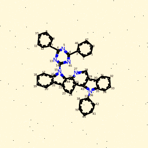 c1ccc(-c2nc(-c3ccccc3)nc(-n3c4ccccc4c4ccc5c(ncc6c7ccccc7n(-c7ccccc7)c65)c43)n2)cc1